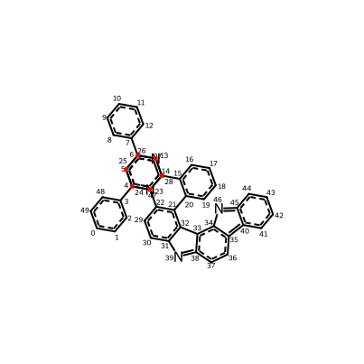 c1ccc(-c2cc(-c3ccccc3)nc(-c3ccccc3-c3c(-c4ccccc4)ccc4c3-c3c5c(ccc3=N4)=c3ccccc3=N5)n2)cc1